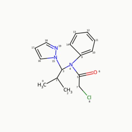 CC(C)C(N(C(=O)CCl)c1ccccc1)n1cccn1